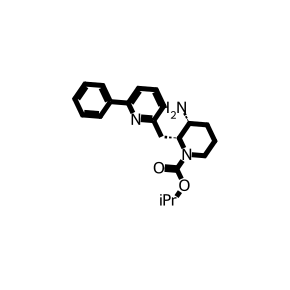 CC(C)OC(=O)N1CCC[C@@H](N)[C@H]1Cc1cccc(-c2ccccc2)n1